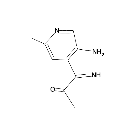 CC(=O)C(=N)c1cc(C)ncc1N